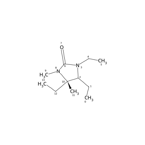 CCC1N(CC)C(=O)N(C)[C@@]1(C)CC